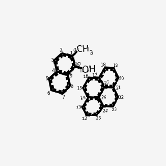 Cc1ccc2ccccc2c1O.c1cc2ccc3cccc4ccc(c1)c2c34